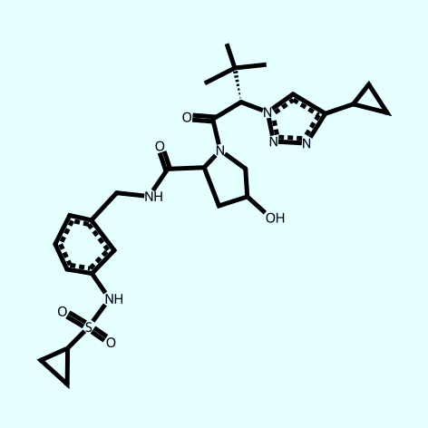 CC(C)(C)[C@@H](C(=O)N1CC(O)CC1C(=O)NCc1cccc(NS(=O)(=O)C2CC2)c1)n1cc(C2CC2)nn1